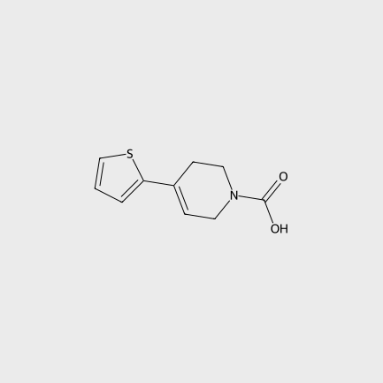 O=C(O)N1CC=C(c2cccs2)CC1